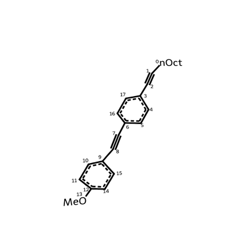 CCCCCCCCC#Cc1ccc(C#Cc2ccc(OC)cc2)cc1